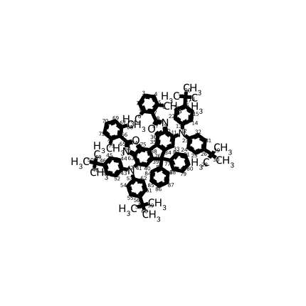 Cc1cccc(C)c1-c1nc2c(N(c3ccc(C(C)(C)C)cc3)c3ccc(C(C)(C)C)cc3)cc3c(c2o1)-c1c(cc(N(c2ccc(C(C)(C)C)cc2)c2ccc(C(C)(C)C)cc2)c2nc(-c4c(C)cccc4C)oc12)C3(c1ccccc1)c1ccccc1